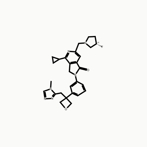 Cn1cnnc1CC1(c2cccc(N3Cc4c(cc(CN5CC[C@H](F)C5)nc4C4CC4)C3=O)c2)COC1